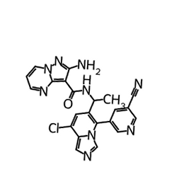 CC(NC(=O)c1c(N)nn2cccnc12)c1cc(Cl)c2cncn2c1-c1cncc(C#N)c1